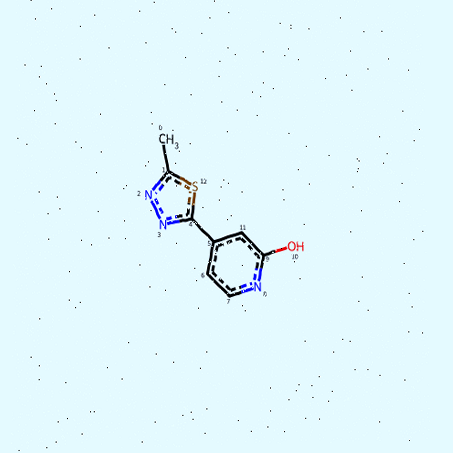 Cc1nnc(-c2ccnc(O)c2)s1